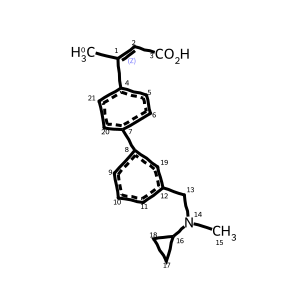 C/C(=C/C(=O)O)c1ccc(-c2cccc(CN(C)C3CC3)c2)cc1